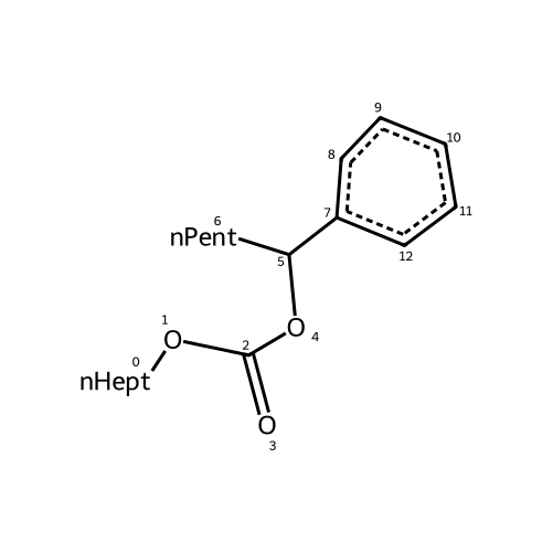 CCCCCCCOC(=O)OC(CCCCC)c1ccccc1